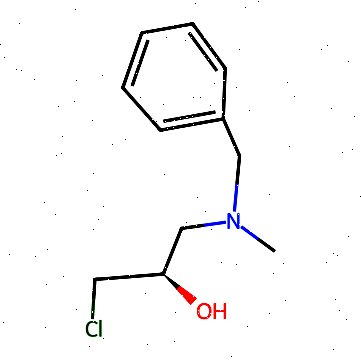 CN(Cc1ccccc1)C[C@@H](O)CCl